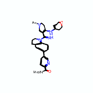 CNC(=O)c1ccc(-c2ccc3c(c2)CCCN3C(=N)C2=C(NC3CCOCC3)CCN(C(C)=O)C2)cn1